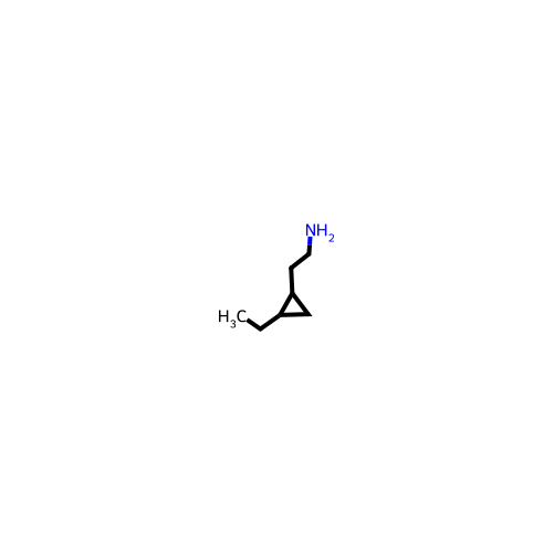 CCC1CC1CCN